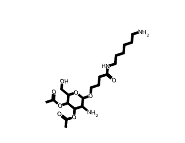 CC(=O)OC1C(CO)OC(OCCCC(=O)NCCCCCCN)C(N)C1OC(C)=O